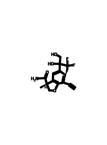 C#Cc1nc(C(O)(CO)C(F)(F)F)cc2c1OC[C@]2(C)C(N)=O